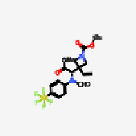 C=CC1([C@@H](C(=O)OC)N(C=O)c2ccc(S(F)(F)(F)(F)F)cc2)CN(C(=O)OC(C)(C)C)C1